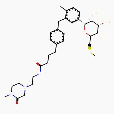 CS#CC1O[C@@H](c2ccc(C)c(Cc3ccc(CCCC(=O)NCCN4CCN(C)C(=O)C4)cc3)c2)[C@H](O)[C@@H](O)[C@@H]1O